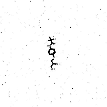 CCC(C)(C)C(=O)Nc1ccc(OCC(O)CO)cc1